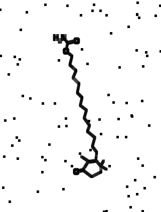 CC1=C(CCCCCCCCCCCCCCCOC(N)=O)C(C)(C)CCC1=O